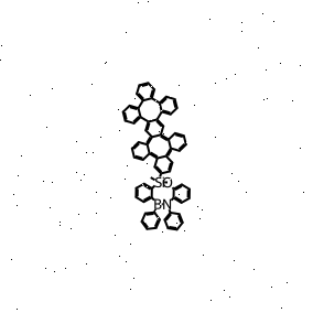 C[Si]1(c2ccc3c4ccccc4c4cc5c6ccccc6c6ccccc6c6ccccc6c5cc4c4ccccc4c3c2)Oc2ccccc2N(c2ccccc2)B(c2ccccc2)c2ccccc21